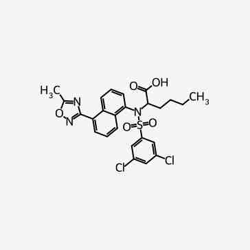 CCCCC(C(=O)O)N(c1cccc2c(-c3noc(C)n3)cccc12)S(=O)(=O)c1cc(Cl)cc(Cl)c1